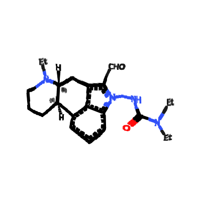 CCN(CC)C(=O)Nn1c(C=O)c2c3c(cccc31)[C@H]1CCCN(CC)[C@@H]1C2